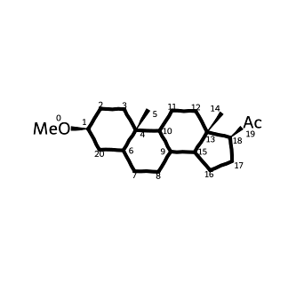 CO[C@H]1CC[C@@]2(C)C(CCC3C2CC[C@@]2(C)C3CC[C@@H]2C(C)=O)C1